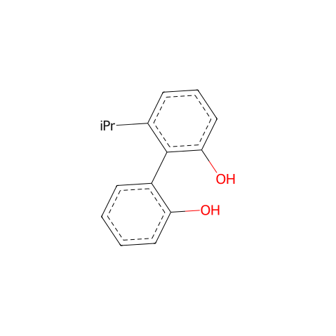 CC(C)c1cccc(O)c1-c1ccccc1O